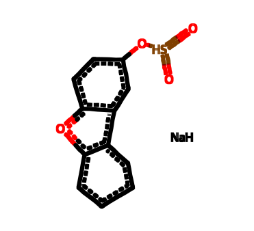 O=[SH](=O)Oc1ccc2oc3ccccc3c2c1.[NaH]